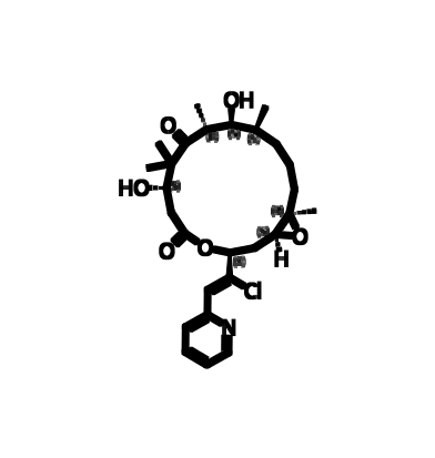 C[C@H]1CCC[C@@]2(C)O[C@H]2C[C@@H](C(Cl)=Cc2ccccn2)OC(=O)C[C@H](O)C(C)(C)C(=O)[C@H](C)[C@H]1O